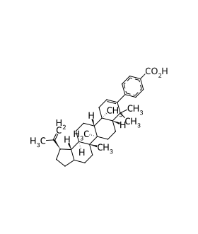 C=C(C)[C@@H]1CCC2CC[C@]3(C)[C@H](CC[C@@H]4[C@@]5(C)CC=C(c6ccc(C(=O)O)cc6)C(C)(C)[C@@H]5CC[C@]43C)[C@H]21